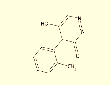 Cc1ccccc1C1C(=O)N=NC=C1O